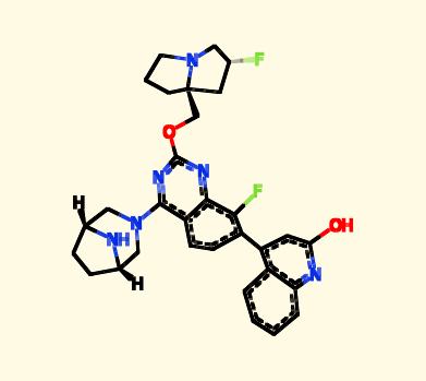 Oc1cc(-c2ccc3c(N4C[C@H]5CC[C@@H](C4)N5)nc(OC[C@@]45CCCN4C[C@H](F)C5)nc3c2F)c2ccccc2n1